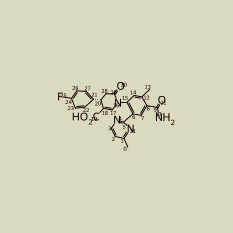 Cc1ccnc(-c2cc(C(N)=O)c(C)cc2N2C=C(C(=O)O)[C@H](c3ccc(F)cc3)CC2=O)n1